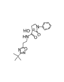 CC(C)(C)c1noc(CCNC(=O)[C@@]2(O)CCN(c3ccccc3)C2=O)n1